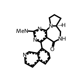 CNc1nc(-c2cccc3ccncc23)c2c(n1)N1CCC[C@H]1CNC2=O